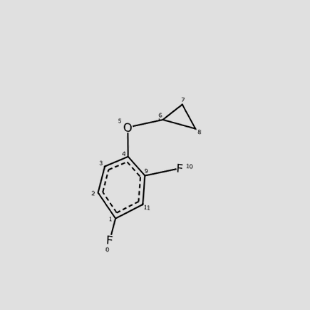 Fc1ccc(O[C]2CC2)c(F)c1